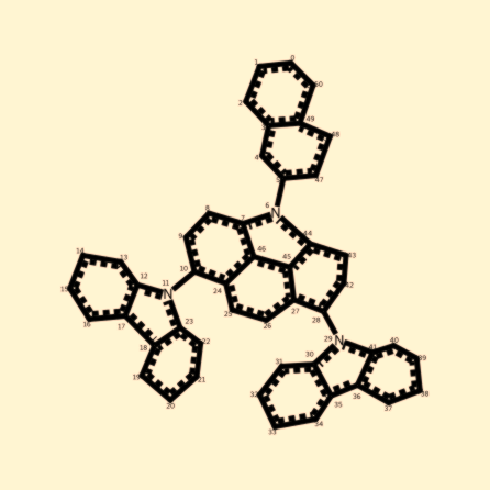 c1ccc2cc(-n3c4ccc(-n5c6ccccc6c6ccccc65)c5ccc6c(-n7c8ccccc8c8ccccc87)ccc3c6c54)ccc2c1